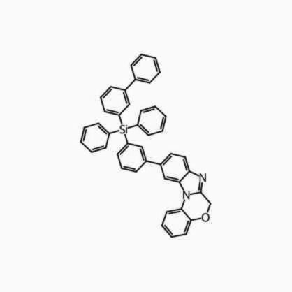 c1ccc(-c2cccc([Si](c3ccccc3)(c3ccccc3)c3cccc(-c4ccc5nc6n(c5c4)-c4ccccc4OC6)c3)c2)cc1